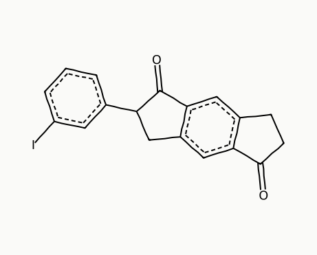 O=C1CCc2cc3c(cc21)CC(c1cccc(I)c1)C3=O